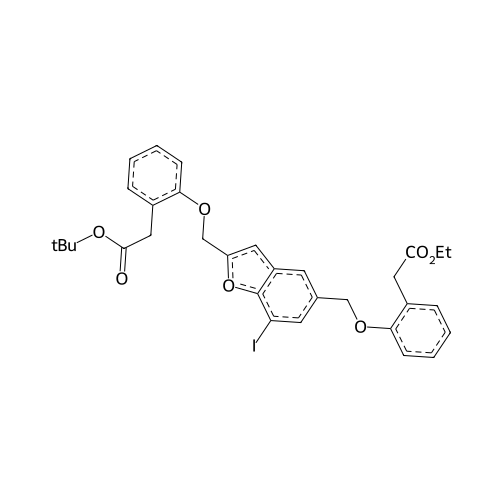 CCOC(=O)Cc1ccccc1OCc1cc(I)c2oc(COc3ccccc3CC(=O)OC(C)(C)C)cc2c1